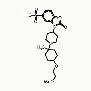 COCCOC1CCC(C)(N2CCC(n3c(=O)oc4ccc(S(C)(=O)=O)cc43)CC2)CC1